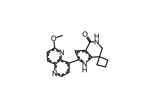 COc1ccc2nccc(-c3cc4c([nH]3)C3(CCC3)CNC4=O)c2n1